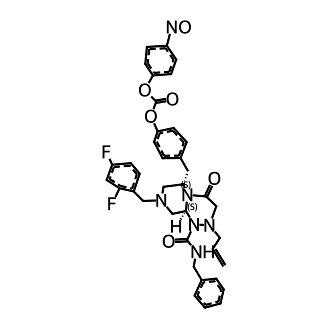 C=CCN1CC(=O)N2[C@@H](Cc3ccc(OC(=O)Oc4ccc(N=O)cc4)cc3)CN(Cc3ccc(F)cc3F)C[C@@H]2N1C(=O)NCc1ccccc1